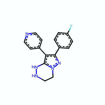 Fc1ccc(-c2nn3c(c2-c2ccncc2)NNCC3)cc1